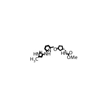 COC(=O)NC[C@H]1CC[C@H](OCc2cccc(Nc3cc(C)[nH]n3)n2)C1